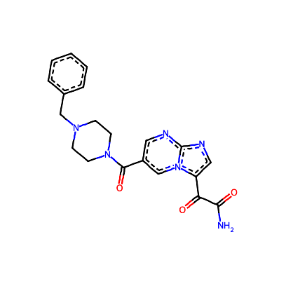 NC(=O)C(=O)c1cnc2ncc(C(=O)N3CCN(Cc4ccccc4)CC3)cn12